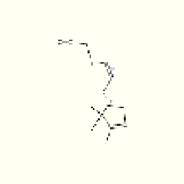 CC1=CC[C@@H](C/C=C\CCC=O)C1(C)C